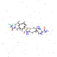 NC(=O)C1=NC=C2CC(NS(=O)(=O)c3ccc4c(c3)CN(C(=O)C(F)(F)F)CC4)CCC2N1